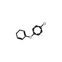 Clc1ccc(OC2=CCCC=C2)cc1